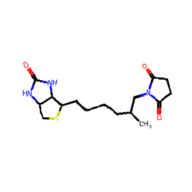 CC(CCCCC1SCC2NC(=O)NC21)CN1C(=O)CCC1=O